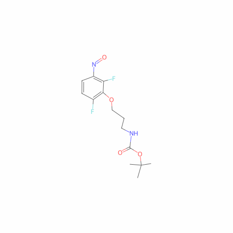 CC(C)(C)OC(=O)NCCCOc1c(F)ccc(N=O)c1F